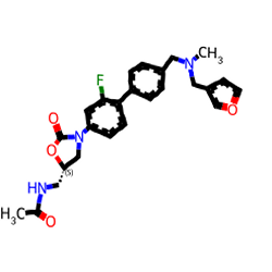 CC(=O)NC[C@H]1CN(c2ccc(-c3ccc(CN(C)Cc4ccoc4)cc3)c(F)c2)C(=O)O1